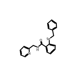 O=C(NCc1ccccn1)c1ccccc1[Se]Cc1ccccc1